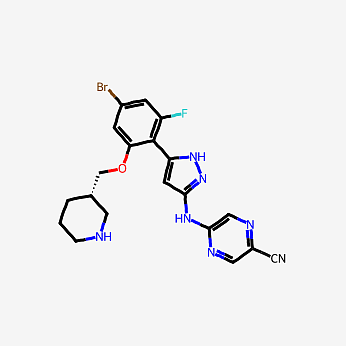 N#Cc1cnc(Nc2cc(-c3c(F)cc(Br)cc3OC[C@H]3CCCNC3)[nH]n2)cn1